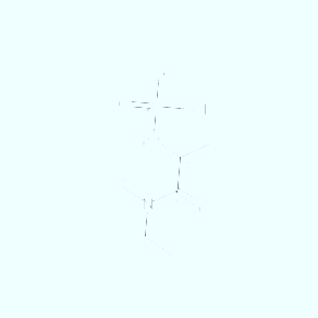 CCN(C)C(=O)C(C)OP(=O)(O)O